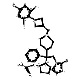 CCc1nccn1CC(c1ccccc1)(C1CCN(CC2CN(c3c(F)cc(C#N)cc3F)C2)CC1)[C@H]1CCC[C@@H]1OC(=O)NC